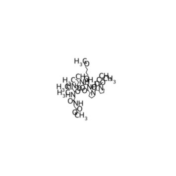 COCCCCOC[C@H](NC(=O)[C@@H]1CCCN1C(=O)[C@@H]1CCCN1C(=O)OC(C)(C)C)C(=O)N[C@H](C(=O)N[C@H](C(=O)NCC(=O)NCC(=O)OC)C(C)C)C(C)C